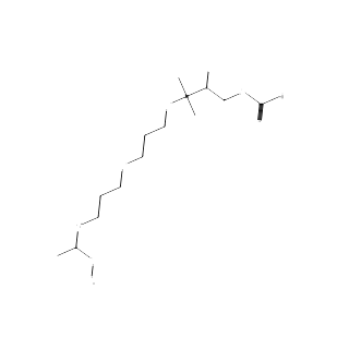 CC(NCCCOCCCOC(C)(C)C(F)CNC(=O)C(C)C)SS